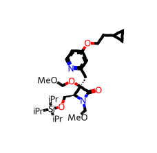 COCO[C@@]1(Cc2cc(OCCC3CC3)ccn2)C(=O)N(COC)[C@H]1CO[Si](C(C)C)(C(C)C)C(C)C